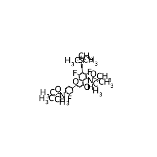 CC(C)(C)C(=O)Nc1ccc(-c2cc(=O)c3c(NC(=O)C(C)(C)C)c(F)c(C#C[Si](C)(C)C)c(F)c3o2)cc1F